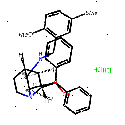 COc1ccc(SC)cc1CN[C@@H]1[C@@H]2CCN([C@@H](CO)C2)[C@@H]1C(c1ccccc1)c1ccccc1.Cl.Cl